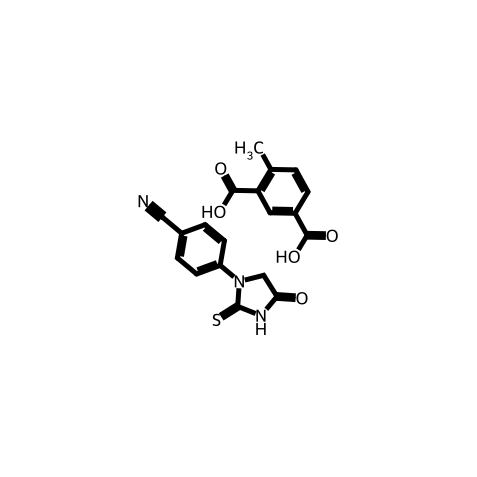 Cc1ccc(C(=O)O)cc1C(=O)O.N#Cc1ccc(N2CC(=O)NC2=S)cc1